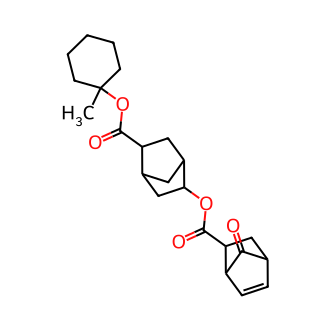 CC1(OC(=O)C2CC3CC2CC3OC(=O)C2CC3C=CC2C3=O)CCCCC1